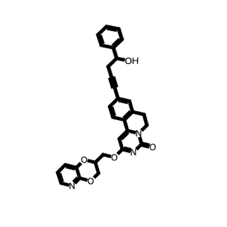 O=c1nc(OCC2COc3ncccc3O2)cc2n1CCc1cc(C#CCC(O)c3ccccc3)ccc1-2